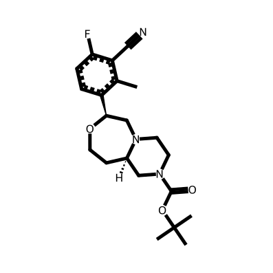 Cc1c([C@H]2CN3CCN(C(=O)OC(C)(C)C)C[C@H]3CCO2)ccc(F)c1C#N